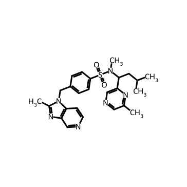 Cc1cncc(C(CC(C)C)N(C)S(=O)(=O)c2ccc(Cn3c(C)nc4cnccc43)cc2)n1